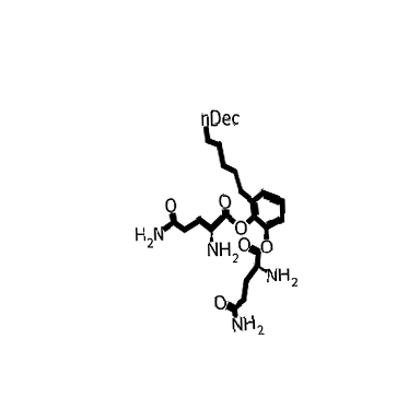 CCCCCCCCCCCCCCCc1cccc(OC(=O)[C@@H](N)CCC(N)=O)c1OC(=O)[C@@H](N)CCC(N)=O